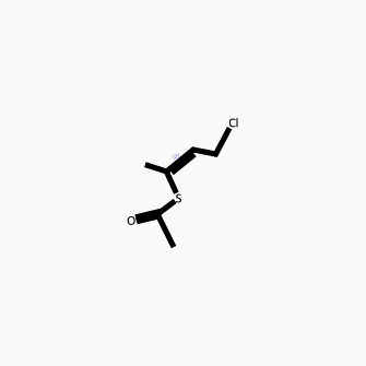 CC(=O)S/C(C)=C\CCl